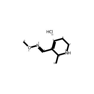 CO/N=C/C1=CCCNC1C.Cl